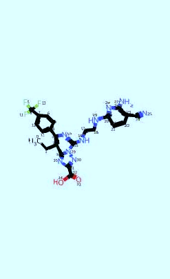 CCc1c(-c2ccc(C(F)(F)F)cc2)nc(NCCNc2ccc(C#N)c(N)n2)n2nc(C(=O)O)nc12